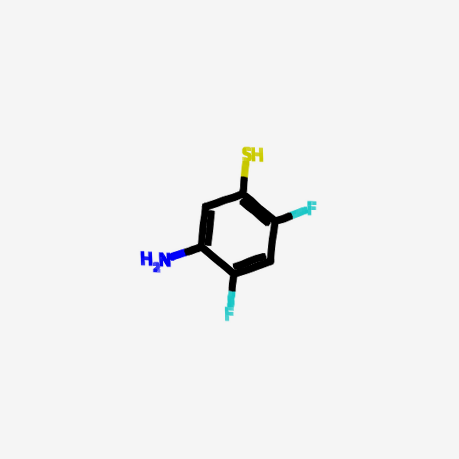 Nc1cc(S)c(F)cc1F